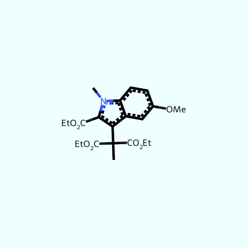 CCOC(=O)c1c(C(C)(C(=O)OCC)C(=O)OCC)c2cc(OC)ccc2n1C